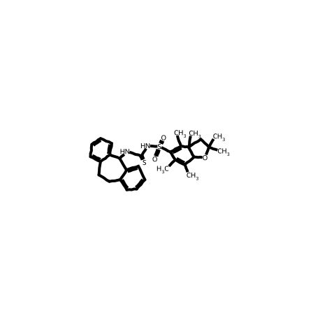 CC1=C(C)C2OC(C)(C)CC2(C)C(C)=C1S(=O)(=O)NC(=S)NC1c2ccccc2CCc2ccccc21